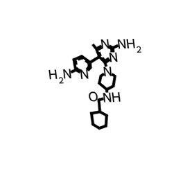 Cc1nc(N)nc(N2CCC(NC(=O)C3CCCCC3)CC2)c1-c1ccc(N)nc1